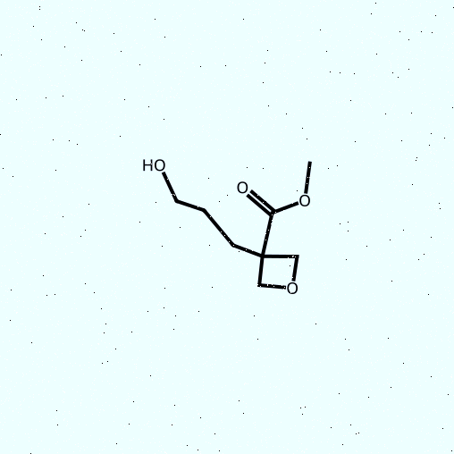 COC(=O)C1(CCCO)COC1